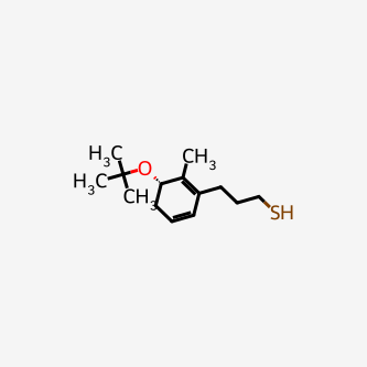 CC1=C(CCCS)C=CC[C@@H]1OC(C)(C)C